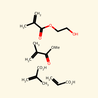 C=C(C)C(=O)O.C=C(C)C(=O)OC.C=C(C)C(=O)OCCO.C=CC(=O)O